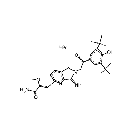 Br.COC(=Cc1ccc2c(n1)C(=N)N(CC(=O)c1cc(C(C)(C)C)c(O)c(C(C)(C)C)c1)C2)C(N)=O